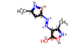 Cc1cc(N=Nc2c(C)noc2O)sn1